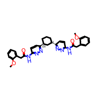 COc1ccccc1CC(=O)Nc1ccc([C@H]2CCC[C@H](c3ccc(NC(=O)Cc4ccccc4OC)nn3)C2)nn1